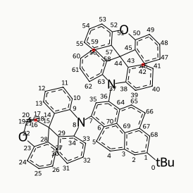 CC(C)(C)c1cc2ccc3c(N4c5ccccc5C5(c6ccccc6Oc6ccccc65)c5ccccc54)cc(N4c5ccccc5C5(c6ccccc6Oc6ccccc65)c5ccccc54)c4ccc(c1)c2c34